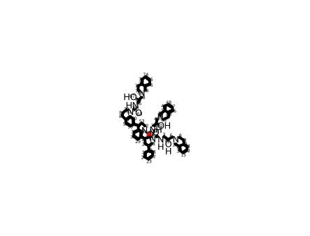 O=C(NC[C@@H](O)CN1CCc2ccccc2C1)N1CC(c2ccccc2)CC(c2cccc3c2N(C(=O)NC[C@H](O)CN2CCc4ccccc4C2)CCC3c2ccc3c(c2)N(C(=O)NC[C@@H](O)CN2CCc4ccccc4C2)CCC3)C1